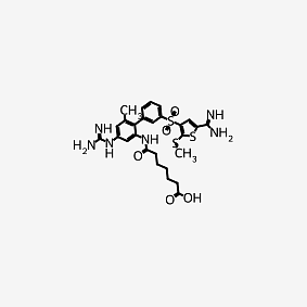 CSc1sc(C(=N)N)cc1S(=O)(=O)c1cccc(-c2c(C)cc(NC(=N)N)cc2NC(=O)CCCCCC(=O)O)c1